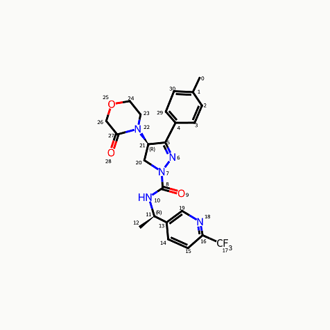 Cc1ccc(C2=NN(C(=O)N[C@H](C)c3ccc(C(F)(F)F)nc3)C[C@H]2N2CCOCC2=O)cc1